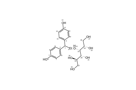 CCC(c1ccc(O)cc1)c1ccc(O)cc1.OC[C@@H](O)[C@@H](O)[C@H](O)[C@@H](O)CO